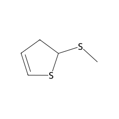 CSC1CC=CS1